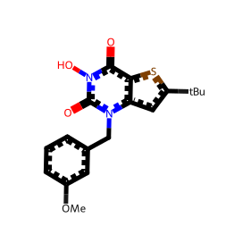 COc1cccc(Cn2c(=O)n(O)c(=O)c3sc(C(C)(C)C)cc32)c1